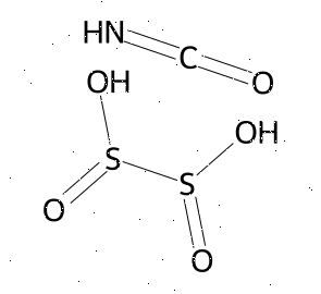 N=C=O.O=S(O)S(=O)O